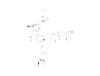 CC(C)n1cc(-c2cc(-c3ccc(N4CCN(Cc5ncccn5)CC4)nc3)c3c(C#N)cnn3c2)nn1.O=C(O)C(F)(F)F.O=C(O)C(F)(F)F